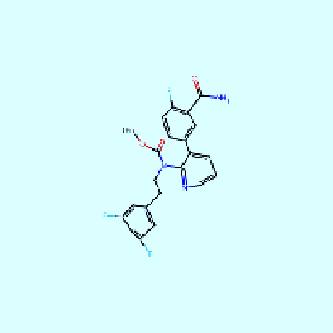 CC(C)(C)OC(=O)N(CCc1cc(F)cc(F)c1)c1ncccc1-c1ccc(F)c(C(N)=O)c1